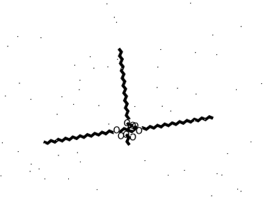 CCCCCCCCCCCCCCCCCCCCOC(=O)CC(CC(=O)OCCCCCCCCCCCCCCCCCCCC)(OC(=O)CC)C(=O)OCCCCCCCCCCCCCCCCCCCC